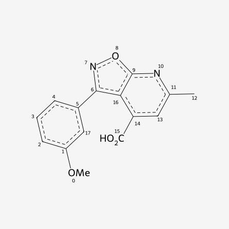 COc1cccc(-c2noc3nc(C)cc(C(=O)O)c23)c1